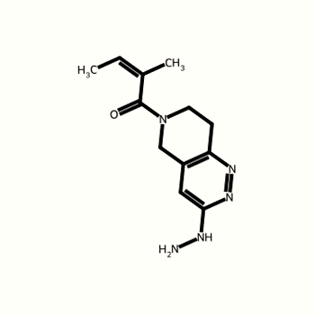 C/C=C(/C)C(=O)N1CCc2nnc(NN)cc2C1